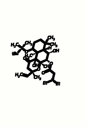 C=C[C@@]1(C)CC(=O)[C@]2(O)[C@@]3(C)C(O[Si](C)(C)C(C)(C)C)CCC(C)(C)[C@@H]3[C@H](O)[C@H](OC(=O)CN(CC)CC)[C@@]2(C)O1